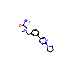 CN(CC(N)=O)Cc1cccc(-c2cnc(N3CCCC3)nc2)c1